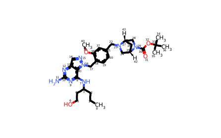 CCCC(CCO)Nc1nc(N)nc2cnn(Cc3ccc(CN4C[C@@H]5C[C@H]4CN5C(=O)OC(C)(C)C)cc3OC)c12